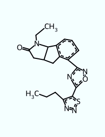 CCCc1nnsc1-c1nc(-c2cccc3c2CC2CC(=O)N(CC)C32)no1